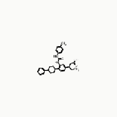 CCC(CC(=O)O)c1ccc(C2CCC(c3ccccc3)CC2)c(NC(=O)Nc2ccc(C)cc2)c1